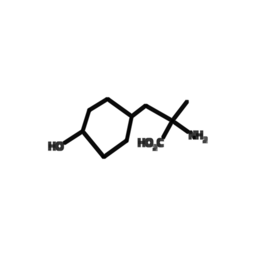 CC(N)(CC1CCC(O)CC1)C(=O)O